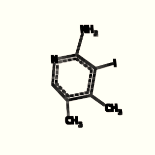 Cc1cnc(N)c(I)c1C